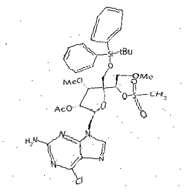 COC[C@@H](OS(C)(=O)=O)[C@]1(CO[Si](c2ccccc2)(c2ccccc2)C(C)(C)C)O[C@@H](n2cnc3c(Cl)nc(N)nc32)[C@H](OC(C)=O)[C@@H]1OC